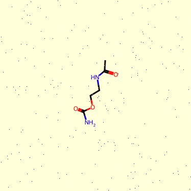 CC(=O)NCCOC(N)=O